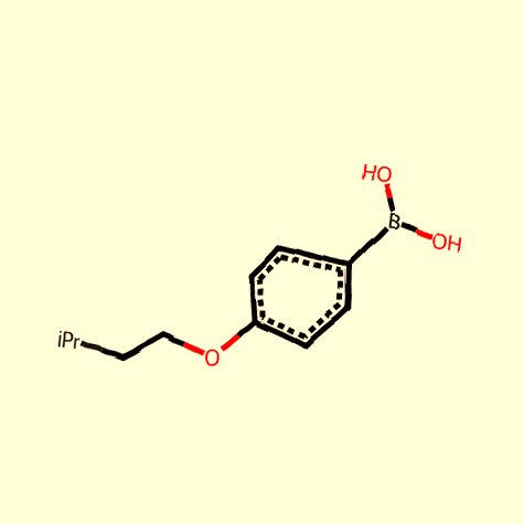 CC(C)CCOc1ccc(B(O)O)cc1